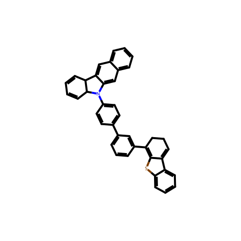 C1=CC2c3cc4ccccc4cc3N(c3ccc(-c4cccc(C5=c6sc7ccccc7c6=CCC5)c4)cc3)C2C=C1